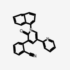 N#Cc1ccccc1-c1cc(-c2ccccn2)cn(-c2cccc3ccccc23)c1=O